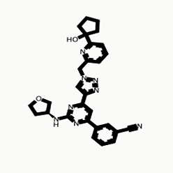 N#Cc1cccc(-c2cc(-c3cn(Cc4cccc(C5(O)CCCC5)n4)nn3)nc(N[C@H]3CCOC3)n2)c1